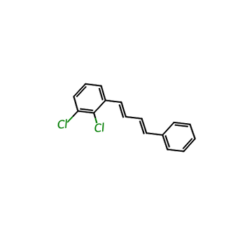 Clc1cccc(/C=C/C=C/c2ccccc2)c1Cl